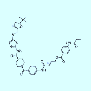 C=CC(=O)Nc1ccc(C(=O)OC/C=C/C(=O)Nc2ccc(C(=O)N3CCC(C(=O)Nc4ncc(SCc5ncc(C(C)(C)C)o5)s4)CC3)cc2)cc1